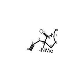 C#CCC1(NC)CCN(C)C1=O